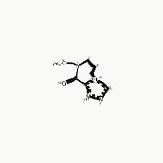 CN1CCn2cnnc2C1=O